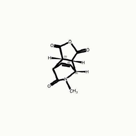 CN1C(=O)C2C=C[C@@H]1[C@H]1C(=O)OC(=O)[C@@H]21